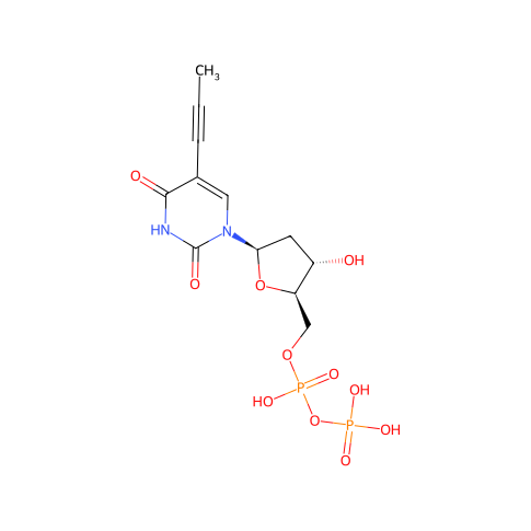 CC#Cc1cn([C@H]2C[C@H](O)[C@@H](COP(=O)(O)OP(=O)(O)O)O2)c(=O)[nH]c1=O